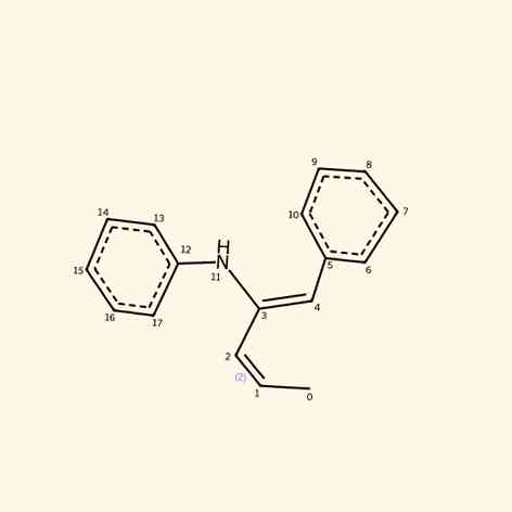 C/C=C\C(=Cc1ccccc1)Nc1ccccc1